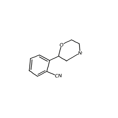 N#Cc1ccccc1C1C[N]CCO1